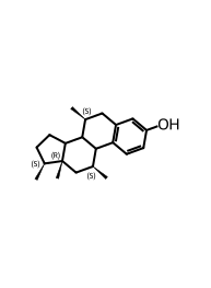 C[C@H]1C[C@@]2(C)C(CC[C@@H]2C)C2C1c1ccc(O)cc1C[C@@H]2C